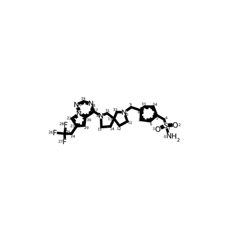 NS(=O)(=O)Cc1ccc(CN2CCC3(CCN(c4ncnn5cc(CC(F)(F)F)cc45)C3)C2)cc1